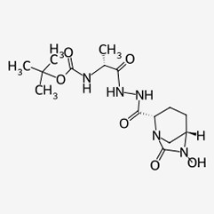 C[C@@H](NC(=O)OC(C)(C)C)C(=O)NNC(=O)[C@@H]1CC[C@H]2CN1C(=O)N2O